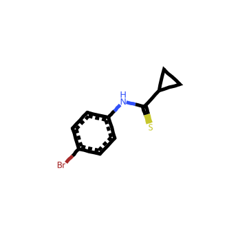 S=C(Nc1ccc(Br)cc1)C1CC1